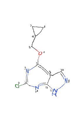 Clc1nc(OCC2CC2)c2cn[nH]c2n1